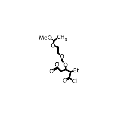 CCC(C(=O)Cl)C(CC(=O)Cl)OCOCCO[C@H](C)OC